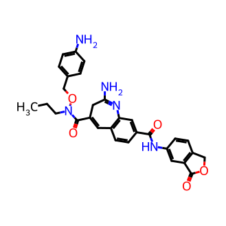 CCCN(OCc1ccc(N)cc1)C(=O)C1=Cc2ccc(C(=O)Nc3ccc4c(c3)C(=O)OC4)cc2N=C(N)C1